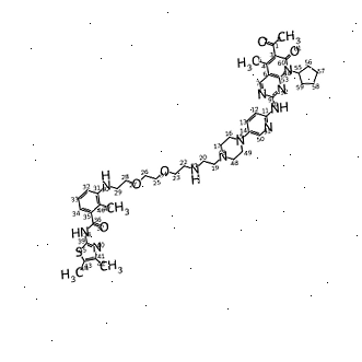 CC(=O)c1c(C)c2cnc(Nc3ccc(N4CCN(CCNCCOCCOCCNc5cccc(C(=O)Nc6nc(C)c(C)s6)c5C)CC4)cn3)nc2n(C2CCCC2)c1=O